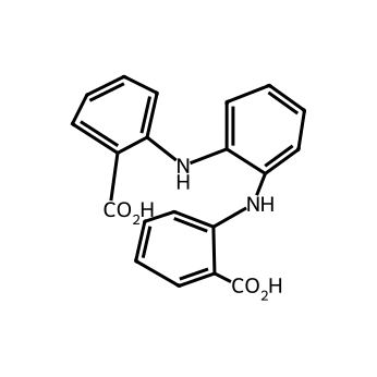 O=C(O)c1ccccc1Nc1ccccc1Nc1ccccc1C(=O)O